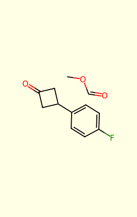 COC=O.O=C1CC(c2ccc(F)cc2)C1